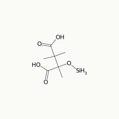 CC(C)(C(=O)O)C(C)(O[SiH3])C(=O)O